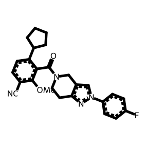 COc1c(C#N)ccc(C2CCCC2)c1C(=O)N1CCc2nn(-c3ccc(F)cc3)cc2C1